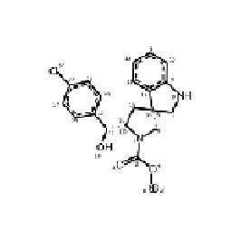 CC(C)(C)OC(=O)N1C[C@]2(CNc3ccccc32)C[C@H]1C(O)c1ccc(Cl)cc1